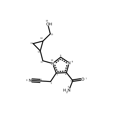 N#CCc1c(C(N)=O)ncn1CC1CC1CO